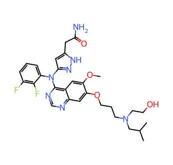 COc1cc2c(N(c3cc(CC(N)=O)[nH]n3)c3cccc(F)c3F)ncnc2cc1OCCCN(CCO)CC(C)C